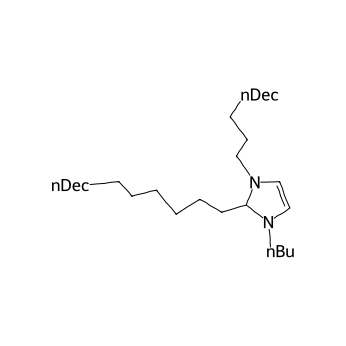 CCCCCCCCCCCCCCCCC1N(CCCC)C=CN1CCCCCCCCCCCCC